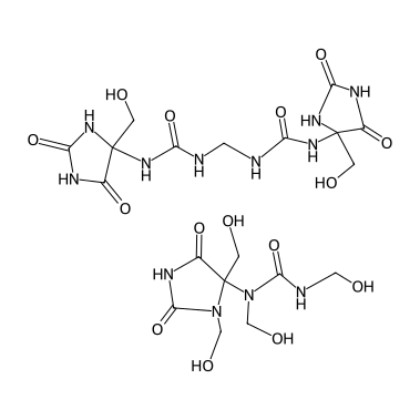 O=C(NCNC(=O)NC1(CO)NC(=O)NC1=O)NC1(CO)NC(=O)NC1=O.O=C(NCO)N(CO)C1(CO)C(=O)NC(=O)N1CO